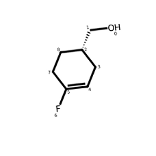 OC[C@@H]1CC=C(F)CC1